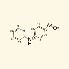 O=[As]c1ccc(Nc2ccccc2)cc1